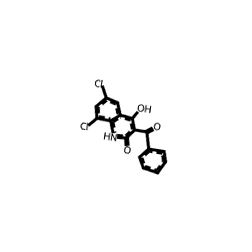 O=C(c1ccccc1)c1c(O)c2cc(Cl)cc(Cl)c2[nH]c1=O